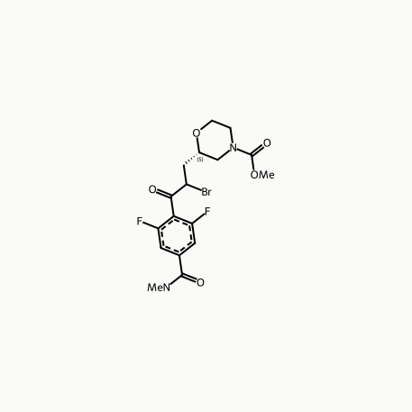 CNC(=O)c1cc(F)c(C(=O)C(Br)C[C@H]2CN(C(=O)OC)CCO2)c(F)c1